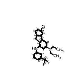 CCN(CC)c1cc(Nc2cccc(C(F)(F)F)c2)c2c(c1)-c1cc(Cl)ccc1C2